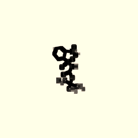 CC(C)(C)OC(=O)NS(=O)(=O)c1cc[c]cc1[N+](=O)[O-]